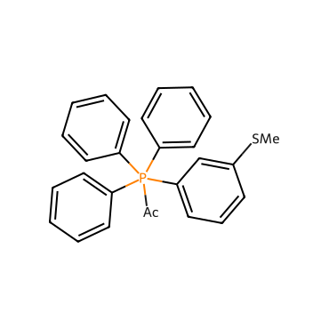 CSc1cccc(P(C(C)=O)(c2ccccc2)(c2ccccc2)c2ccccc2)c1